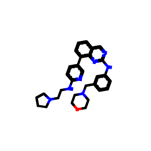 c1cc(CN2CCOCC2)cc(Nc2ncc3cccc(-c4ccc(NCCN5CCCC5)nc4)c3n2)c1